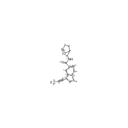 O=C(NC1CN2CCC1C2)c1cc2c(C#CC(F)(F)F)csc2cn1